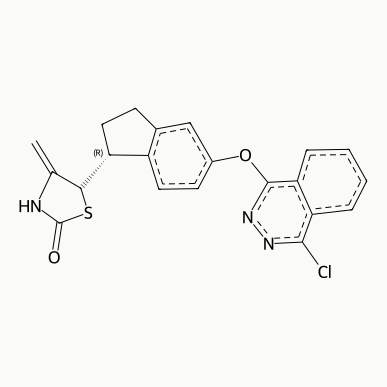 C=C1NC(=O)SC1[C@@H]1CCc2cc(Oc3nnc(Cl)c4ccccc34)ccc21